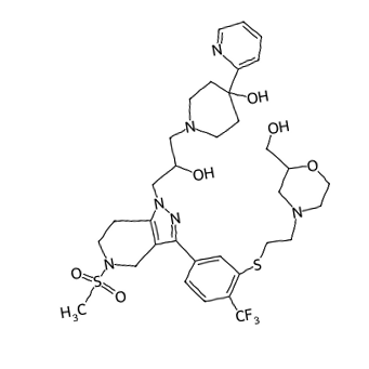 CS(=O)(=O)N1CCc2c(c(-c3ccc(C(F)(F)F)c(SCCN4CCOC(CO)C4)c3)nn2CC(O)CN2CCC(O)(c3ccccn3)CC2)C1